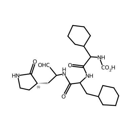 O=CC(C[C@@H]1CCNC1=O)NC(=O)C(CC1CCCCC1)NC(=O)C(NC(=O)O)C1CCCCC1